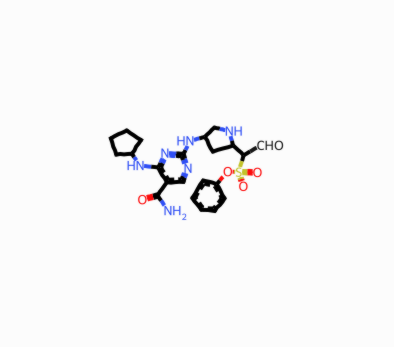 NC(=O)c1cnc(NC2CNC(C(C=O)S(=O)(=O)Oc3ccccc3)C2)nc1NC1CCCC1